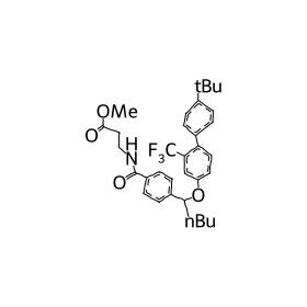 CCCCC(Oc1ccc(-c2ccc(C(C)(C)C)cc2)c(C(F)(F)F)c1)c1ccc(C(=O)NCCC(=O)OC)cc1